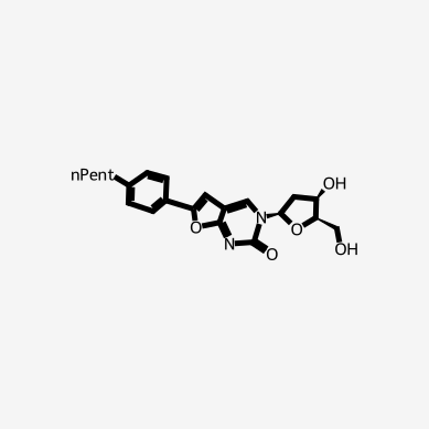 CCCCCc1ccc(-c2cc3cn([C@H]4C[C@@H](O)[C@@H](CO)O4)c(=O)nc3o2)cc1